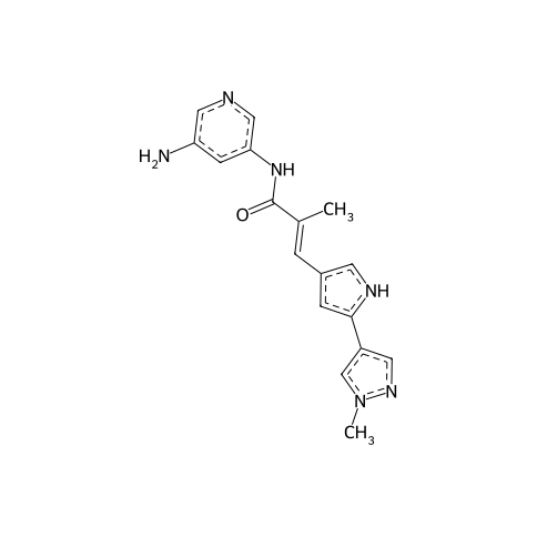 C/C(=C\c1c[nH]c(-c2cnn(C)c2)c1)C(=O)Nc1cncc(N)c1